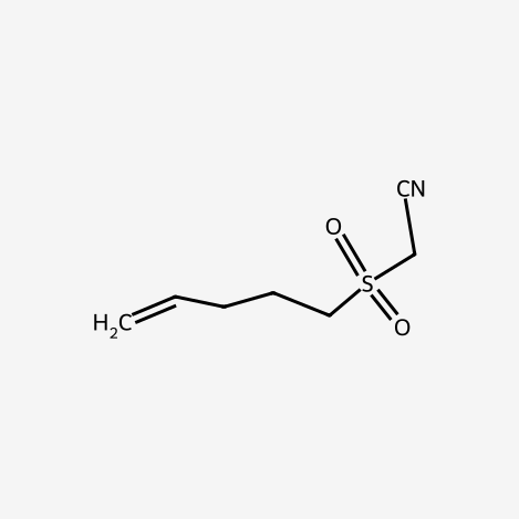 C=CCCCS(=O)(=O)CC#N